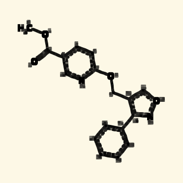 COC(=O)c1ccc(OCc2conc2-c2ccccc2)nc1